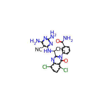 CC(Nc1nc(N)nc(N)c1C#N)c1nc2c(Cl)ccc(Cl)c2c(=O)n1-c1cccc(C(N)=O)c1